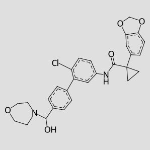 O=C(Nc1ccc(Cl)c(-c2ccc(C(O)N3CCOCC3)cc2)c1)C1(c2ccc3c(c2)OCO3)CC1